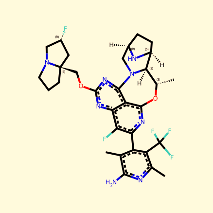 Cc1nc(N)c(C)c(-c2nc3c4c(nc(OC[C@@]56CCCN5C[C@H](F)C6)nc4c2F)N2C[C@H]4CC[C@H](N4)[C@H]2[C@H](C)O3)c1C(F)(F)F